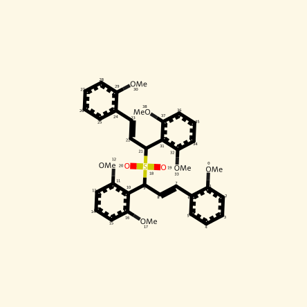 COc1ccccc1C=CC(c1c(OC)cccc1OC)S(=O)(=O)C(C=Cc1ccccc1OC)c1c(OC)cccc1OC